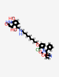 O=C(O)N(c1cccc(OCCCCCCCCCNC[C@H](O)c2ccc(O)c3[nH]c(=O)ccc23)c1Cl)[C@@H](c1ccccc1)C1CN2CCC1CC2